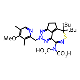 COc1c(C)cnc(CN2N=C3CCC4=C3C(=N2)C(N(C(=O)O)C(=O)O)=NSC4(C(C)(C)C)C(C)(C)C)c1C